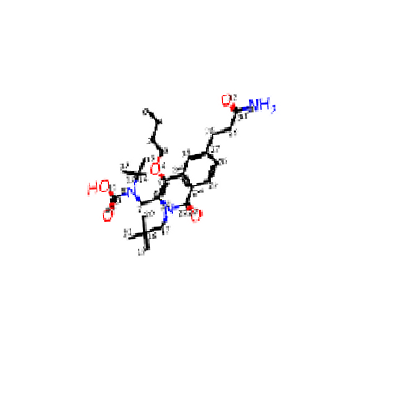 CCCCOc1c(CN(C(=O)O)C(C)(C)C)n(CC(C)(C)C)c(=O)c2ccc(CCC(N)=O)cc12